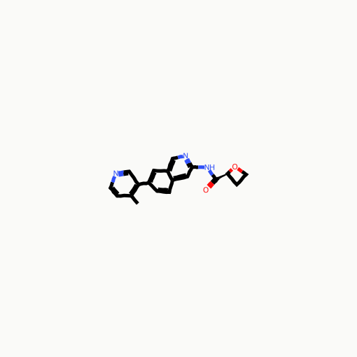 Cc1ccncc1-c1ccc2cc(NC(=O)[C@@H]3CCO3)ncc2c1